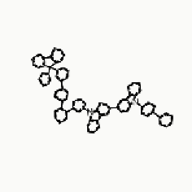 c1ccc(-c2ccc(-n3c4ccccc4c4cc(-c5ccc6c(c5)c5ccccc5n6-c5cccc(-c6ccccc6-c6ccc(-c7cccc(C8(c9ccccc9)c9ccccc9-c9ccccc98)c7)cc6)c5)ccc43)cc2)cc1